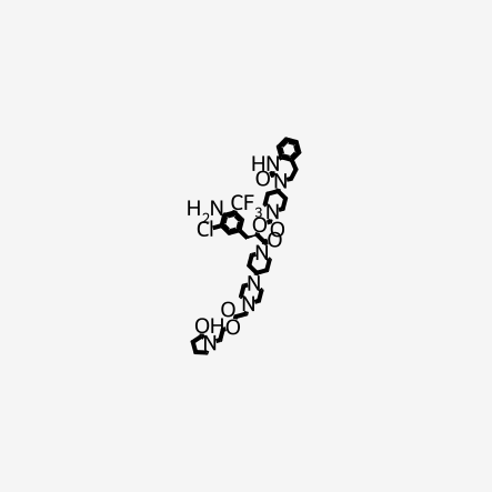 Nc1c(Cl)cc(C[C@@H](OC(=O)N2CCC(N3CCc4ccccc4NC3=O)CC2)C(=O)N2CCC(N3CCN(CC(=O)OCCN4CCCC4O)CC3)CC2)cc1C(F)(F)F